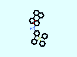 c1ccc(-c2cccc3cccc(-c4ccc(Nc5ccc6c(c5)-c5ccccc5S6(c5ccccc5)c5ccccc5)cc4)c23)cc1